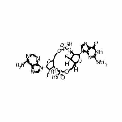 Nc1nc2c(ncn2[C@@H]2O[C@@H]3COP(=O)(S)O[C@@H]4C(COP(=O)(S)O[C@@H]2[C@@H]3F)O[C@@H](n2cnc3c(N)ncnc32)[C@@H]4F)c(=O)[nH]1